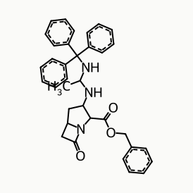 CC(NC1CC2CC(=O)N2C1C(=O)OCc1ccccc1)NC(c1ccccc1)(c1ccccc1)c1ccccc1